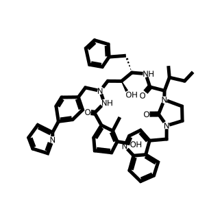 CCC(C)C(C(=O)N[C@@H](Cc1ccccc1)[C@@H](O)CN(Cc1ccc(-c2ccccn2)cc1)NC(=O)c1cccc(O)c1C)N1CCN(Cc2ccnc3ccccc23)C1=O